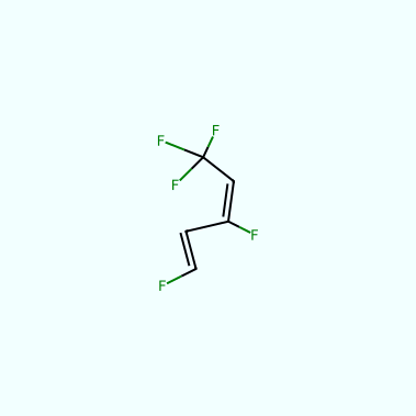 FC=C/C(F)=C\C(F)(F)F